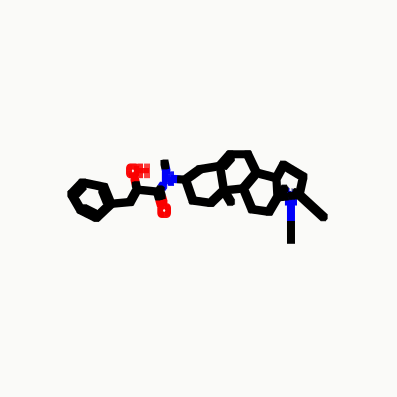 CC1C2CCC3C4CC=C5CC(N(C)C(=O)C(O)Cc6ccccc6)CCC5(C)C4CCC32CN1C